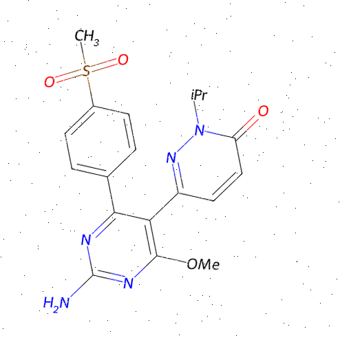 COc1nc(N)nc(-c2ccc(S(C)(=O)=O)cc2)c1-c1ccc(=O)n(C(C)C)n1